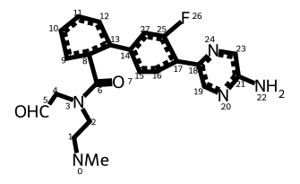 CNCCN(CC=O)C(=O)c1ccccc1-c1ccc(-c2cnc(N)cn2)c(F)c1